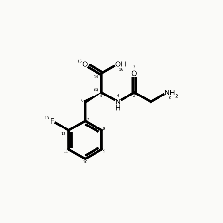 NCC(=O)N[C@@H](Cc1ccccc1F)C(=O)O